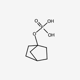 O=P(O)(O)OC12CCC(CC1)C2